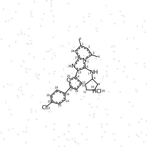 Cc1cc(C)n2c(NC3CCCC3)c(-c3ccc(-c4ccc(Cl)cc4)o3)nc2c1.Cl